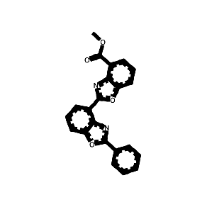 COC(=O)c1cccc2oc(-c3cccc4oc(-c5ccccc5)nc34)nc12